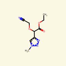 CCOC(=O)C(OCC#N)c1cn(C)nn1